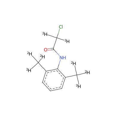 [2H]C([2H])(Cl)C(=O)Nc1c(C([2H])([2H])[2H])cccc1C([2H])([2H])[2H]